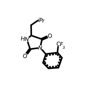 CC(C)CC1NC(=O)N(c2ccccc2C(F)(F)F)C1=O